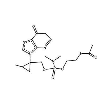 CC(=O)SCCOP(=O)(OCC1(n2cnc3c2N=CCC3=O)CC1C)N(C)C